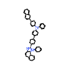 c1ccc(N(c2ccc(-c3ccc(-c4nc5ccc6ccccc6c5n4-c4ccccc4)cc3)cc2)c2ccc(-c3ccc4ccccc4c3)cc2)cc1